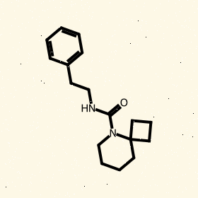 O=C(NCCc1ccccc1)N1CCCCC12CCC2